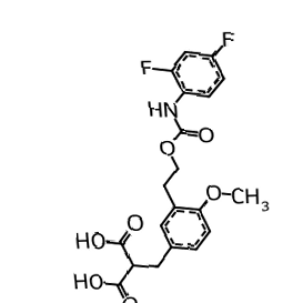 COc1ccc(CC(C(=O)O)C(=O)O)cc1CCOC(=O)Nc1ccc(F)cc1F